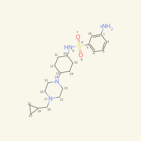 Nc1cccc(S(=O)(=O)NC2CCC(N3CCN(CC4CC4)CC3)CC2)c1